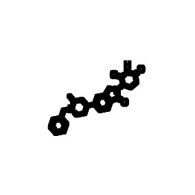 CC1CC(c2ccc3c(c2)CN(C2CCC(=O)NC2=O)C3=O)CCN1Cc1ccccc1